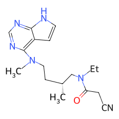 CCN(C[C@H](C)CCN(C)c1ncnc2[nH]ccc12)C(=O)CC#N